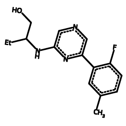 CCC(CO)Nc1cncc(-c2cc(C)ccc2F)n1